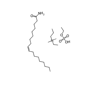 CCCCCCCC/C=C\CCCCCCCC(N)=O.CCC[N+](C)(C)CC.CCOS(=O)(=O)O